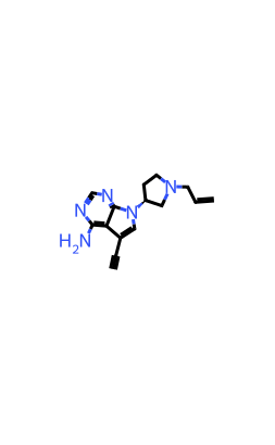 C#Cc1cn([C@H]2CCN(CC=C)C2)c2ncnc(N)c12